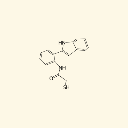 O=C(CS)Nc1ccccc1-c1cc2ccccc2[nH]1